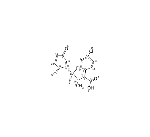 C[C@H]([C@H](C(=O)O)c1ccc(Cl)cc1)C(F)(F)F.O=C1C=CC(=O)C=C1